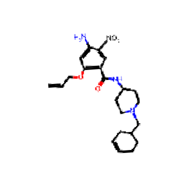 C=CCOc1cc(N)c([N+](=O)[O-])cc1C(=O)NC1CCN(CC2CC=CCC2)CC1